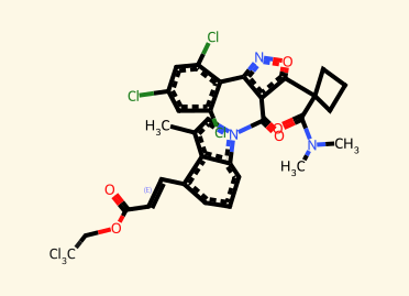 Cc1cn(C(=O)c2c(-c3c(Cl)cc(Cl)cc3Cl)noc2C2(C(=O)N(C)C)CCC2)c2cccc(/C=C/C(=O)OCC(Cl)(Cl)Cl)c12